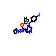 C[C@H](c1ccc(I)cc1)n1cncc1C(=O)NN1C=CC1